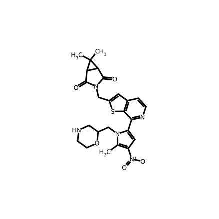 Cc1c([N+](=O)[O-])cc(-c2nccc3cc(CN4C(=O)C5C(C4=O)C5(C)C)sc23)n1CC1CNCCO1